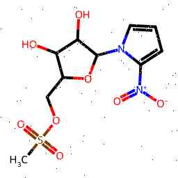 CS(=O)(=O)OCC1OC(n2cccc2[N+](=O)[O-])C(O)C1O